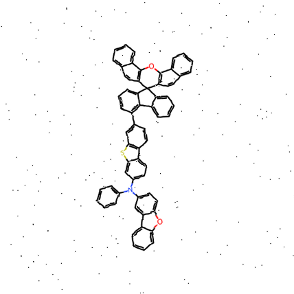 c1ccc(N(c2ccc3c(c2)sc2cc(-c4cccc5c4-c4ccccc4C54c5ccc6ccccc6c5Oc5c4ccc4ccccc54)ccc23)c2ccc3oc4ccccc4c3c2)cc1